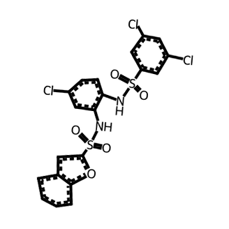 O=S(=O)(Nc1ccc(Cl)cc1NS(=O)(=O)c1cc2ccccc2o1)c1cc(Cl)cc(Cl)c1